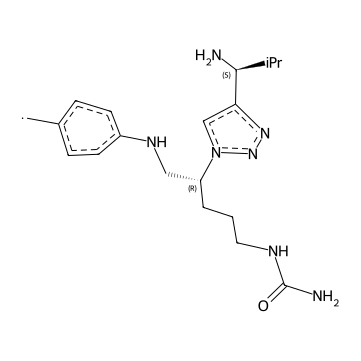 [CH2]c1ccc(NC[C@@H](CCCNC(N)=O)n2cc([C@@H](N)C(C)C)nn2)cc1